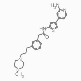 CN1CCN(CCCc2cccc(CC(=O)Nc3cc(-c4ccnc(N)c4)cs3)c2)CC1